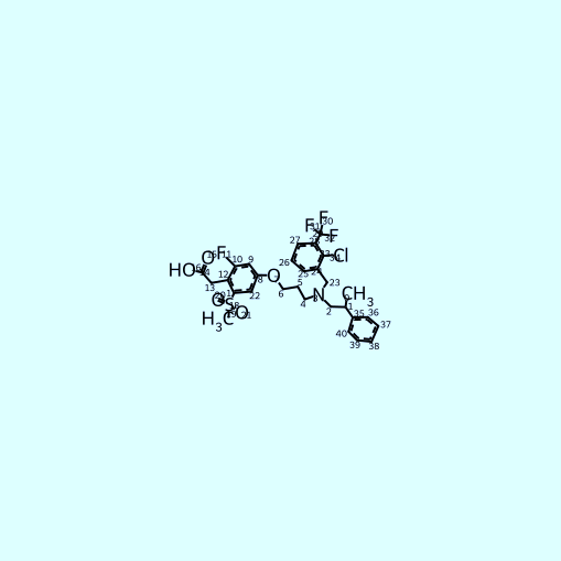 CC(CN(CCCOc1cc(F)c(CC(=O)O)c(S(C)(=O)=O)c1)Cc1cccc(C(F)(F)F)c1Cl)c1ccccc1